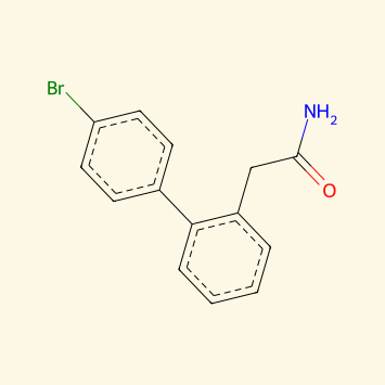 NC(=O)Cc1ccccc1-c1ccc(Br)cc1